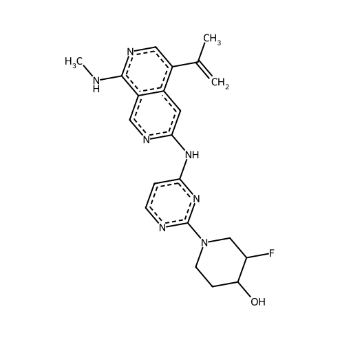 C=C(C)c1cnc(NC)c2cnc(Nc3ccnc(N4CCC(O)C(F)C4)n3)cc12